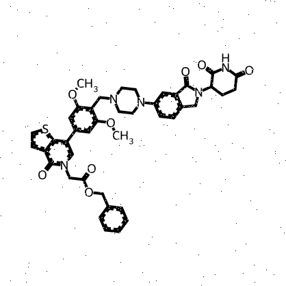 COc1cc(-c2cn(CC(=O)OCc3ccccc3)c(=O)c3ccsc23)cc(OC)c1CN1CCN(c2ccc3c(c2)C(=O)N(C2CCC(=O)NC2=O)C3)CC1